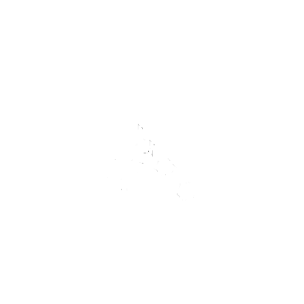 C[C@@H]1[C@H]2CCc3c(N4CCOCC4)nn(-c4ccc(-c5ccccc5)cc4)c3[C@]2(C)CCC12OCCO2